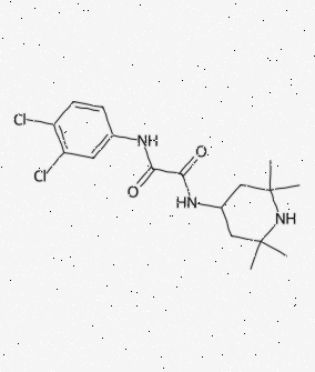 CC1(C)CC(NC(=O)C(=O)Nc2ccc(Cl)c(Cl)c2)CC(C)(C)N1